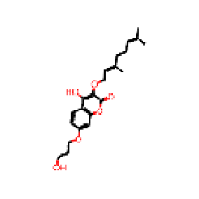 CC(C)=CCC/C(C)=C/COc1c(O)c2ccc(OCCCO)cc2oc1=O